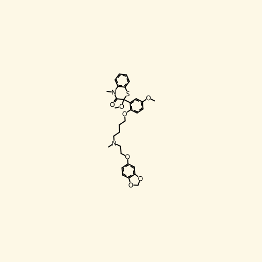 COc1ccc(OCCCCN(C)CCOc2ccc3c(c2)OCO3)c(C2(OC)Sc3ccccc3N(C)C2=O)c1